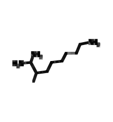 CC(CCCCCCN)C(N)N